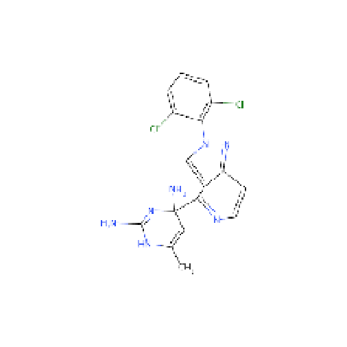 CC1=CC(N)(c2nccc3nn(-c4c(Cl)cccc4Cl)cc23)N=C(N)N1